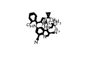 CC(C)(C)CNc1c(C#N)cnc2c(C#N)cc(NC(c3cn(C4(C)CC4)nn3)c3ccccc3Cl)cc12